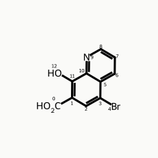 O=C(O)c1cc(Br)c2cccnc2c1O